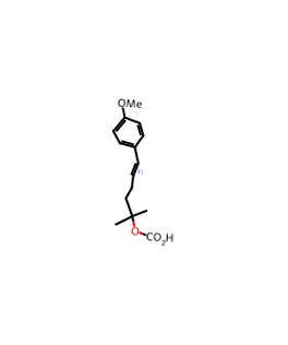 COc1ccc(/C=C/CCC(C)(C)OC(=O)O)cc1